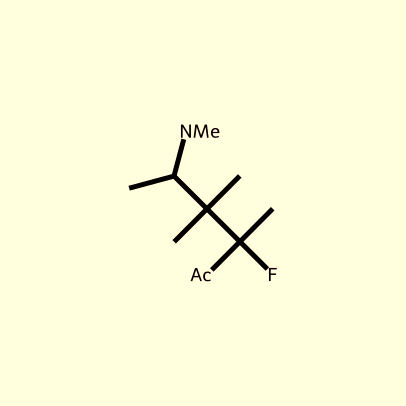 CNC(C)C(C)(C)C(C)(F)C(C)=O